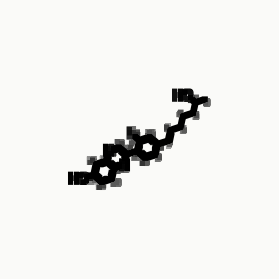 CC(O)CCC/C=C/c1ccc(-c2cnc3cc(O)ccc3n2)c(F)c1